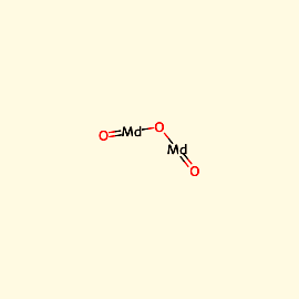 [O]=[Md][O][Md]=[O]